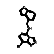 Brc1cnc(NCc2cccc3occc23)n2cnnc12